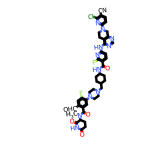 CN(C(=O)c1cc(N2CCN(CC3CCC(NC(=O)c4ccc(Nc5ncnc6c5CCN(c5ccc(C#N)c(Cl)n5)C6)nc4F)CC3)CC2)c(F)cc1C=O)C1CCC(=O)NC1=O